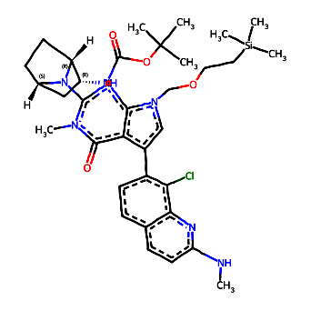 CNc1ccc2ccc(-c3cn(COCC[Si](C)(C)C)c4nc(N5[C@H]6CC[C@@H]5[C@H](NC(=O)OC(C)(C)C)C6)n(C)c(=O)c34)c(Cl)c2n1